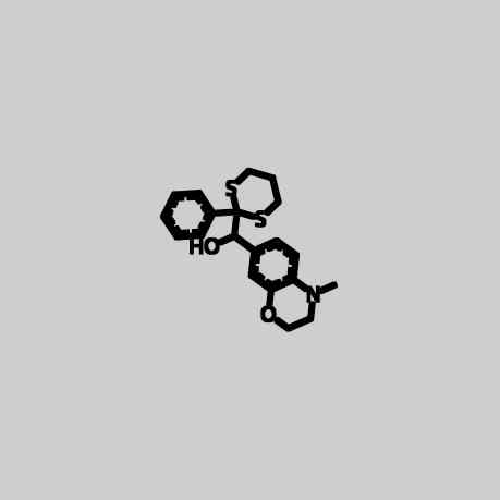 CN1CCOc2cc(C(O)C3(c4ccccc4)SCCCS3)ccc21